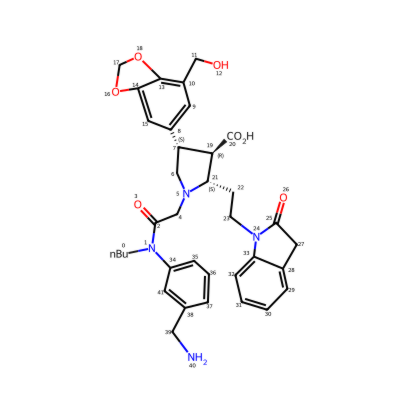 CCCCN(C(=O)CN1C[C@H](c2cc(CO)c3c(c2)OCO3)[C@@H](C(=O)O)[C@@H]1CCN1C(=O)Cc2ccccc21)c1cccc(CN)c1